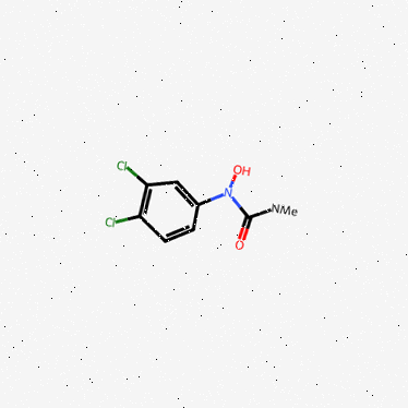 CNC(=O)N(O)c1ccc(Cl)c(Cl)c1